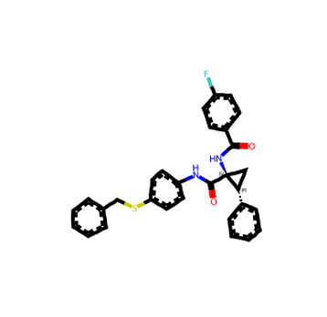 O=C(N[C@@]1(C(=O)Nc2ccc(SCc3ccccc3)cc2)C[C@@H]1c1ccccc1)c1ccc(F)cc1